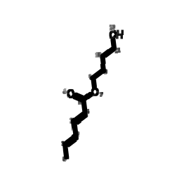 C/C=C/C=C/C(=O)OCCCCO